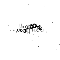 Cc1ncc(-c2ccc3cnc(NC(=O)[C@H]4CCN(CC(C)C)C4)cc3c2)n1C